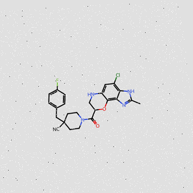 Cc1nc2c3c(cc(Cl)c2[nH]1)NCC(C(=O)N1CCC(C#N)(Cc2ccc(F)cc2)CC1)O3